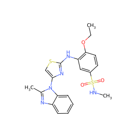 CCOc1ccc(S(=O)(=O)NC)cc1Nc1nc(-n2c(C)nc3ccccc32)cs1